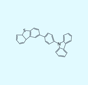 C1=CC2Sc3ccc(-c4ccc(-n5c6ccccc6c6ccccc65)cc4)cc3C2C=C1